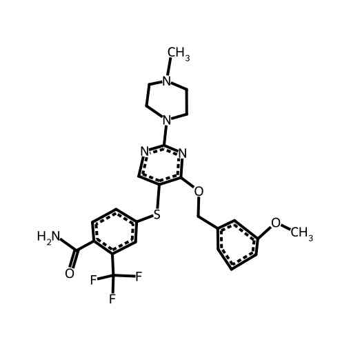 COc1cccc(COc2nc(N3CCN(C)CC3)ncc2Sc2ccc(C(N)=O)c(C(F)(F)F)c2)c1